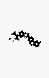 Cc1ccc(F)c(-c2ccc(C3COc4ccc([C@H](C5CC5)[C@H](C)C(=O)O)cc4O3)cc2C)c1